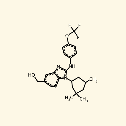 CC1CC(n2c(Nc3ccc(OC(F)(F)F)cc3)nc3cc(CO)ccc32)CC(C)(C)C1